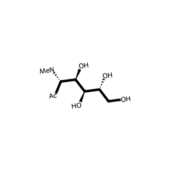 CN[C@@H](C(C)=O)[C@@H](O)[C@H](O)[C@H](O)CO